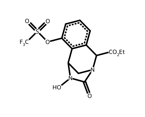 CCOC(=O)C1c2cccc(OS(=O)(=O)C(F)(F)F)c2C2CN1C(=O)N2O